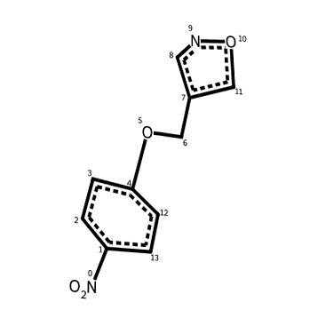 O=[N+]([O-])c1ccc(OCc2cnoc2)cc1